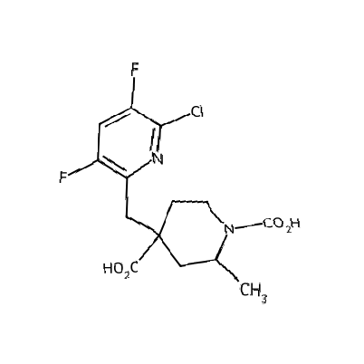 CC1CC(Cc2nc(Cl)c(F)cc2F)(C(=O)O)CCN1C(=O)O